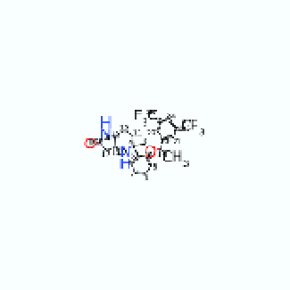 CC(OCC1(c2ccccc2)CCC2NC(=O)CC2N1)c1cc(C(F)(F)F)cc(C(F)(F)F)c1